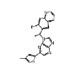 Cc1csc(-c2cnc3ncn(C(C)c4cc5cccnc5cc4F)c3n2)c1